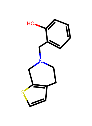 Oc1ccccc1CN1CCc2ccsc2C1